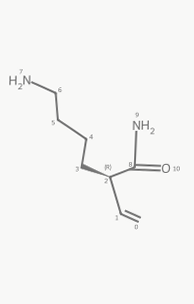 C=C[C@@H](CCCCN)C(N)=O